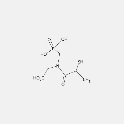 CC(S)C(=O)N(CC(=O)O)CP(=O)(O)O